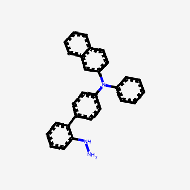 NNc1ccccc1-c1ccc(N(c2ccccc2)c2ccc3ccccc3c2)cc1